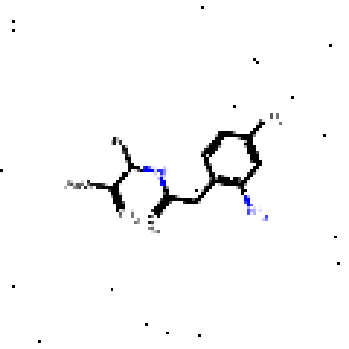 C=C(Cc1ccc(C)cc1N)NC(C(=C)OC)C(C)C